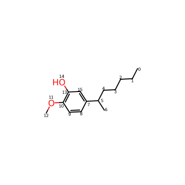 CCCCCC(C)c1ccc(OC)c(O)c1